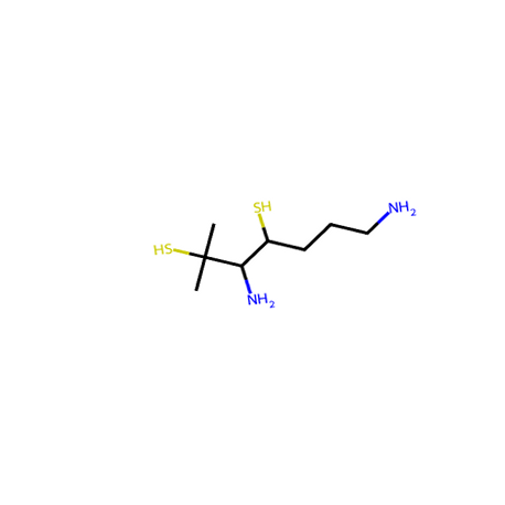 CC(C)(S)C(N)C(S)CCCN